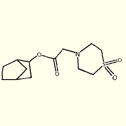 O=C(CN1CCS(=O)(=O)CC1)OC1CC2CCC1C2